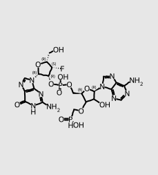 Nc1nc2c(ncn2[C@@H]2O[C@H](CO)[C@H](F)[C@@H]2OP(=O)(O)OC[C@H]2O[C@@H](n3cnc4c(N)ncnc43)C(O)C2OC[PH](=O)O)c(=O)[nH]1